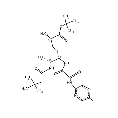 C[C@H](CC[C@H](NC(=O)C(=O)Nc1ccc(Cl)cn1)[C@@H](C)NC(=O)OC(C)(C)C)C(=O)OC(C)(C)C